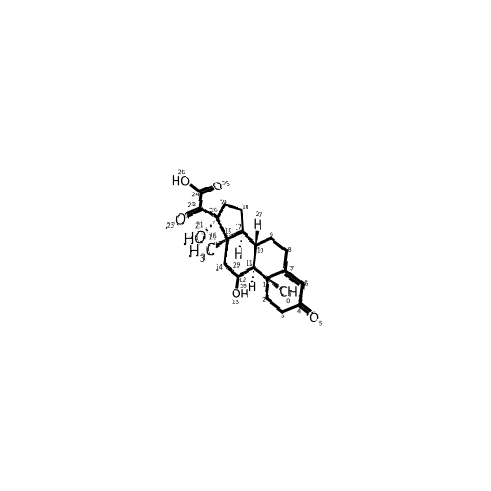 C[C@]12CCC(=O)C=C1CC[C@@H]1[C@@H]2C(O)C[C@@]2(C)[C@H]1CC[C@]2(O)C(=O)C(=O)O